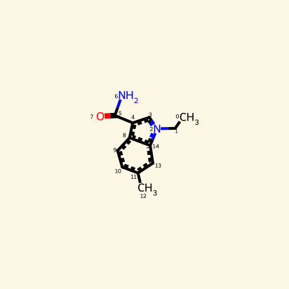 CCn1cc(C(N)=O)c2ccc(C)cc21